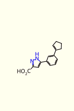 O=C(O)c1cc(-c2cccc(C3=CCCC3)c2)[nH]n1